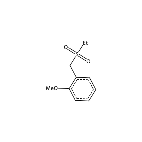 CCS(=O)(=O)Cc1ccccc1OC